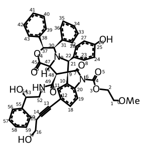 COCCOC(=O)N1C(=O)[C@@]2(c3cc(C#CCCO)ccc31)[C@H](c1ccc(O)cc1)N1[C@H](c3ccccc3)[C@H](c3ccccc3)OC(=O)[C@H]1[C@@H]2C(=O)NC[C@H](O)c1ccccc1